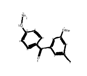 COc1cc(C)cc(C(=O)c2ccc(ON)cc2)c1